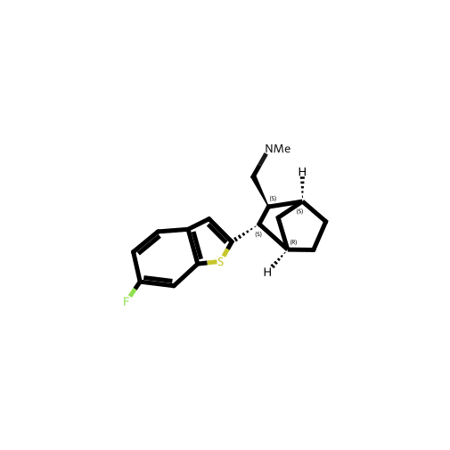 CNC[C@H]1[C@H]2CC[C@H](C2)[C@@H]1c1cc2ccc(F)cc2s1